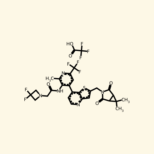 Cc1nc(C(F)(F)F)cc(-c2ccnc3cc(CN4C(=O)C5C(C4=O)C5(C)C)sc23)c1NC(=O)CN1CC(F)(F)C1.O=C(O)C(F)(F)F